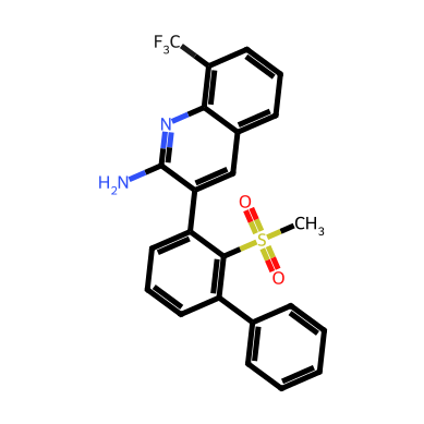 CS(=O)(=O)c1c(-c2ccccc2)cccc1-c1cc2cccc(C(F)(F)F)c2nc1N